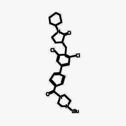 CC(C)(C)N1CCN(C(=O)c2ccc(-c3cc(Cl)c(CC4CCN(C5CCCCC5)C4=O)c(Cl)c3)cc2)CC1